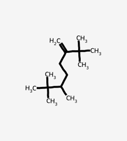 C=C(CCC(C)C(C)(C)C)C(C)(C)C